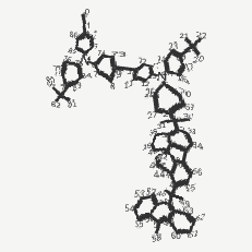 Cc1ccc(N(c2ccc(-c3ccc(N(c4ccc(C(C)(C)C)cc4)c4ccc(C(C)(C)c5ccc6c7c5CCCC75CCCc7c(C(C)(C)c8c9ccccc9c(C)c9ccccc89)ccc-6c75)cc4)cc3)cc2)c2ccc(C(C)(C)C)cc2)cc1